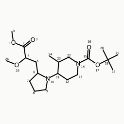 COC(=O)C(CC1CCCN1C1CCN(C(=O)OC(C)(C)C)CC1C)OC